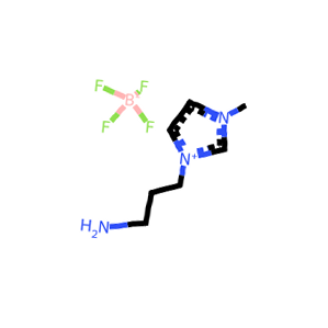 Cn1cc[n+](CCCN)c1.F[B-](F)(F)F